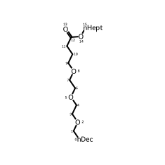 CCCCCCCCCCCOCCOCCOCCCC(=O)OCCCCCCC